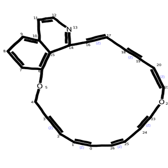 C1=C\C=C/COc2cccc3ccnc(c23)\C=C/C=C\C=C/O/C=C\C=C/1